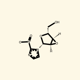 O=[N+]([O-])c1nccn1[C@@H]1O[C@H](CO)[C@H]2O[C@H]21